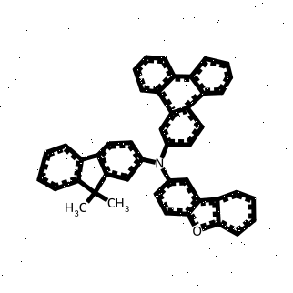 CC1(C)c2ccccc2-c2ccc(N(c3ccc4oc5ccccc5c4c3)c3ccc4c5ccccc5c5ccccc5c4c3)cc21